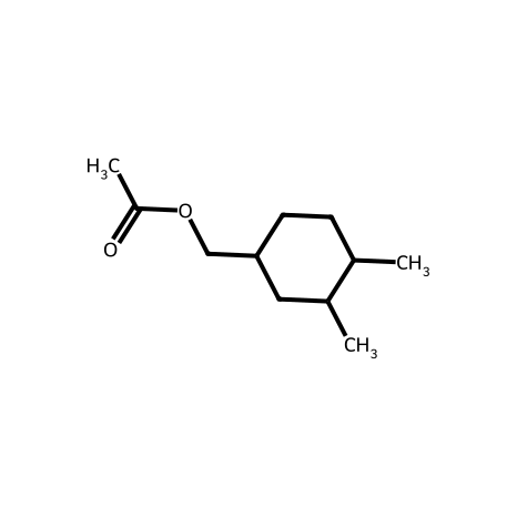 CC(=O)OCC1CCC(C)C(C)C1